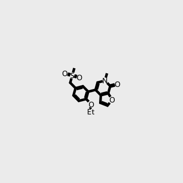 CCOc1ccc(CS(C)(=O)=O)cc1-c1cn(C)c(=O)c2occc12